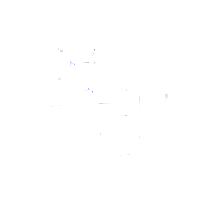 CC(=O)N1c2ccccc2N(C(=O)C2Oc3ccccc3C23CCCCCCC3)C[C@@H]1C